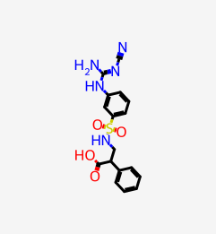 N#CN=C(N)Nc1cccc(S(=O)(=O)NCC(C(=O)O)c2ccccc2)c1